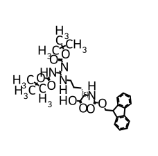 CC(C)(C)OC(=O)N=C(NCCC[C@H](NC(=O)OCC1c2ccccc2-c2ccccc21)C(=O)O)NC(=O)OC(C)(C)C